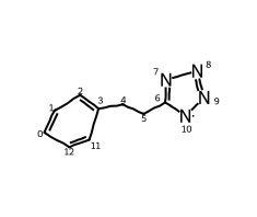 c1ccc(CCC2=NN=N[N]2)cc1